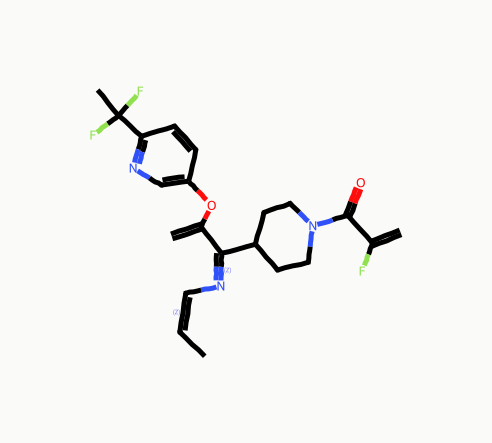 C=C(F)C(=O)N1CCC(/C(=N/C=C\C)C(=C)Oc2ccc(C(C)(F)F)nc2)CC1